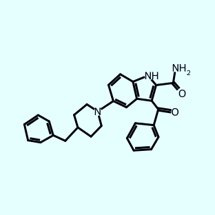 NC(=O)c1[nH]c2ccc(N3CCC(Cc4ccccc4)CC3)cc2c1C(=O)c1ccccc1